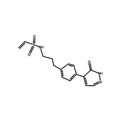 C=CS(=O)(=O)NCCCc1ccc(-c2ccn[nH]c2=O)cc1